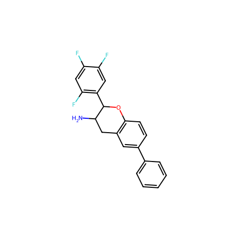 NC1Cc2cc(-c3ccccc3)ccc2OC1c1cc(F)c(F)cc1F